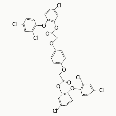 O=C(COc1ccc(OCC(=O)Oc2cc(Cl)ccc2Oc2ccc(Cl)cc2Cl)cc1)Oc1cc(Cl)ccc1Oc1ccc(Cl)cc1Cl